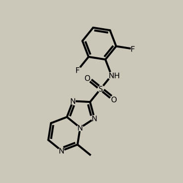 Cc1nccc2nc(S(=O)(=O)Nc3c(F)cccc3F)nn12